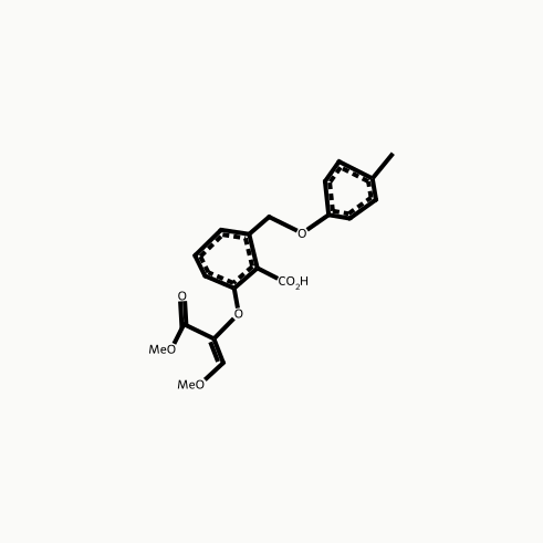 COC=C(Oc1cccc(COc2ccc(C)cc2)c1C(=O)O)C(=O)OC